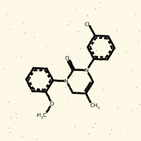 COc1ccccc1N1CC(C)=CN(c2cccc(Cl)c2)C1=O